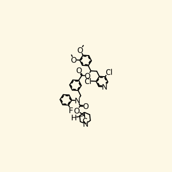 COc1ccc(C(Cc2c(Cl)cncc2Cl)OC(=O)c2cccc(CN(C(=O)O[C@H]3CN4CCC3CC4)c3ccccc3F)c2)cc1OC